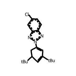 CC(C)(C)C1=CC(C(C)(C)C)CC(n2nc3ccc(Cl)cc3n2)=C1